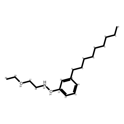 CCCCCCCCCc1cccc(ONCCOCC)c1